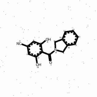 N#Cc1cc(O)c(C(=O)N2Cc3ccccc3C2)c(O)c1